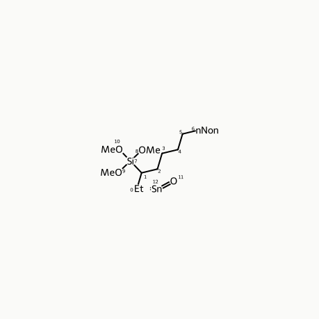 [CH2]CC(CCCCCCCCCCCCC)[Si](OC)(OC)OC.[O]=[Sn]